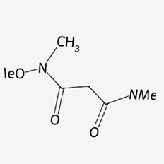 CNC(=O)CC(=O)N(C)OC